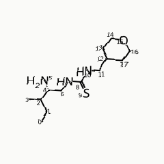 CCC(C)[C@H](N)CNC(=S)NCC1CCOCC1